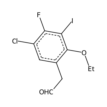 CCOc1c(CC=O)cc(Cl)c(F)c1I